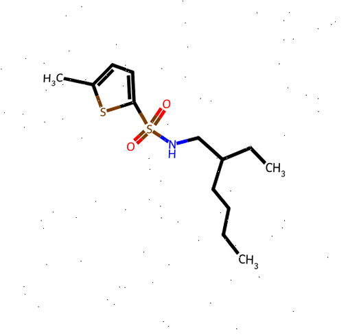 CCCCC(CC)CNS(=O)(=O)c1ccc(C)s1